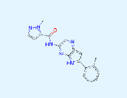 Cc1ccccc1-c1cc2ncc(NC(=O)c3ccnn3C)nc2[nH]1